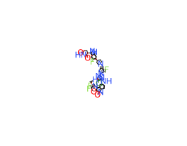 Cn1nc(C2CCC(=O)NC2=O)c2cc(F)c(C3CCN(C[C@H]4CCN(c5ncc(Cl)c(Nc6ccc7c(c6)c6c(c(=O)n7C)OCC(F)(F)[C@H](C7CC7)N6)n5)C[C@H]4F)CC3)cc21